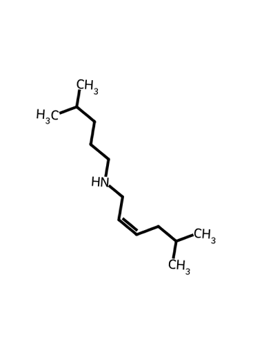 CC(C)C/C=C\CNCCCC(C)C